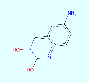 Nc1ccc2c(c1)=CN(O)C(O)N=2